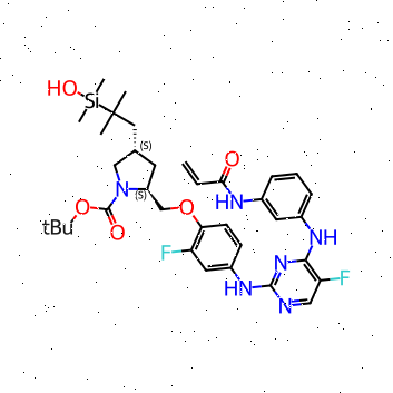 C=CC(=O)Nc1cccc(Nc2nc(Nc3ccc(OC[C@@H]4C[C@@H](CC(C)(C)[Si](C)(C)O)CN4C(=O)OC(C)(C)C)c(F)c3)ncc2F)c1